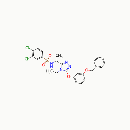 CCn1c(Oc2cccc(OCc3ccccc3)c2)nnc1[C@@H](C)NS(=O)(=O)c1ccc(Cl)c(Cl)c1